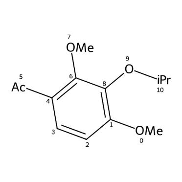 COc1ccc(C(C)=O)c(OC)c1OC(C)C